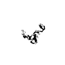 Cn1nccc1-c1ncc2c(n1)N1CCOC[C@H]1CN2CC(=O)NCC1CCOCC1